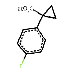 CCOC(=O)C1(c2ccc(F)cc2)CC1